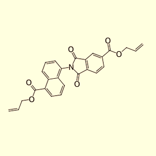 C=CCOC(=O)c1ccc2c(c1)C(=O)N(c1cccc3c(C(=O)OCC=C)cccc13)C2=O